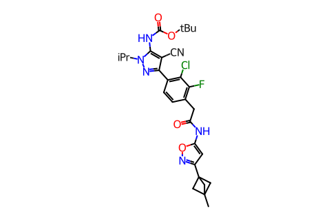 CC(C)n1nc(-c2ccc(CC(=O)Nc3cc(C45CC(C)(C4)C5)no3)c(F)c2Cl)c(C#N)c1NC(=O)OC(C)(C)C